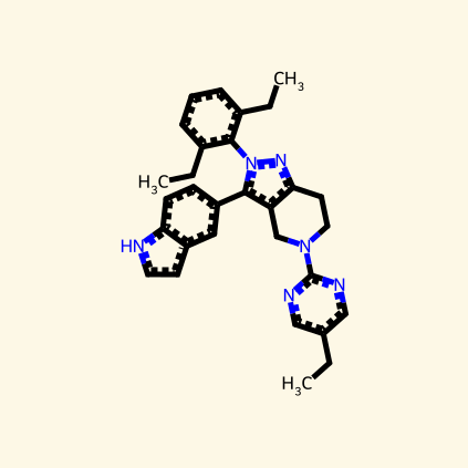 CCc1cnc(N2CCc3nn(-c4c(CC)cccc4CC)c(-c4ccc5[nH]ccc5c4)c3C2)nc1